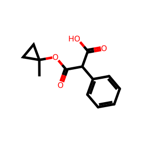 CC1(OC(=O)C(C(=O)O)c2ccccc2)CC1